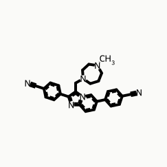 CN1CCCN(Cc2c(-c3ccc(C#N)cc3)nc3ccc(-c4ccc(C#N)cc4)cn23)CC1